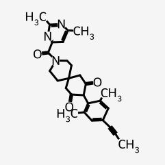 CC#Cc1cc(C)c(C2C(=O)CC3(CCN(C(=O)c4cc(C)nc(C)n4)CC3)CC2=O)c(C)c1